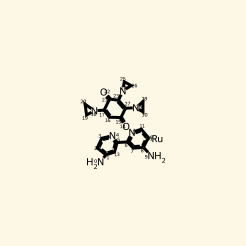 Nc1ccnc(-c2cc(N)ccn2)c1.O=C1C=C(N2CC2)C(=O)C(N2CC2)=C1N1CC1.[Ru]